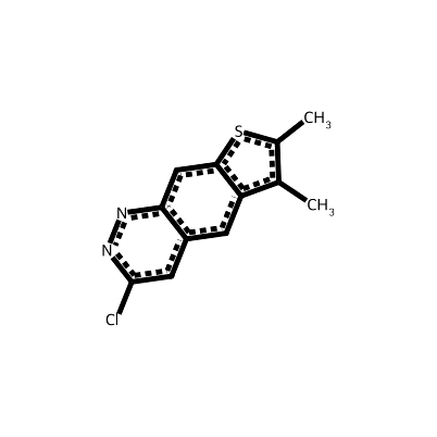 Cc1sc2cc3nnc(Cl)cc3cc2c1C